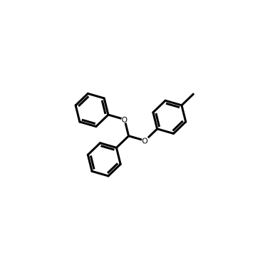 Cc1ccc(OC(Oc2ccccc2)c2ccccc2)cc1